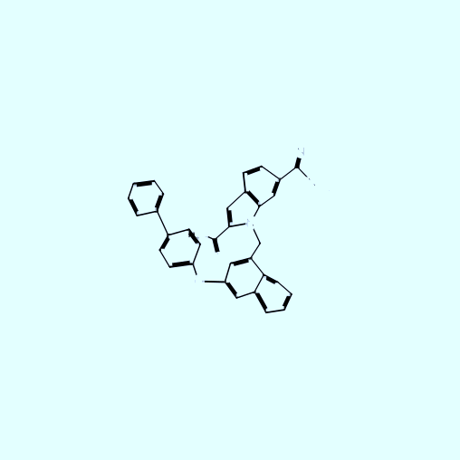 N=C(N)c1ccc2cc(C(=O)O)n(Cc3cc(Oc4ccc(-c5ccccc5)cc4)cc4ccccc34)c2c1